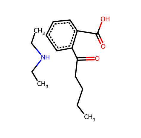 CCCCC(=O)c1ccccc1C(=O)O.CCNCC